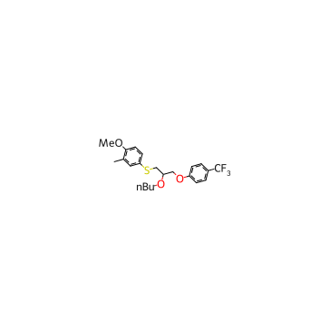 CCCCOC(COc1ccc(C(F)(F)F)cc1)CSc1ccc(OC)c(C)c1